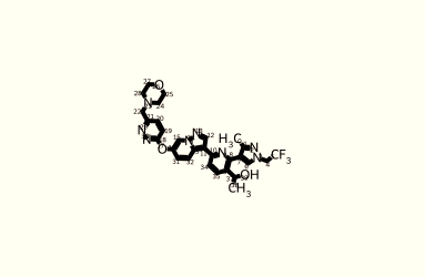 Cc1nn(CC(F)(F)F)cc1-c1nc(-c2cnn3cc(Oc4ccc(CN5CCOCC5)nn4)ccc23)ccc1C(C)O